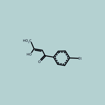 CCc1ccc(C(=O)C=C(O)C(=O)O)cc1